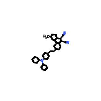 Cc1ccc2c(C#N)c(C#N)c3ccc(C=Cc4ccc(N(c5ccccc5)c5ccccc5)cc4)cc3c2c1